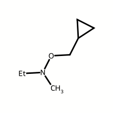 CCN(C)OCC1CC1